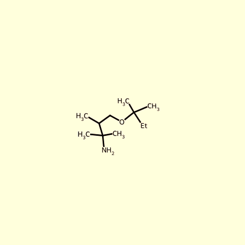 CCC(C)(C)OCC(C)C(C)(C)N